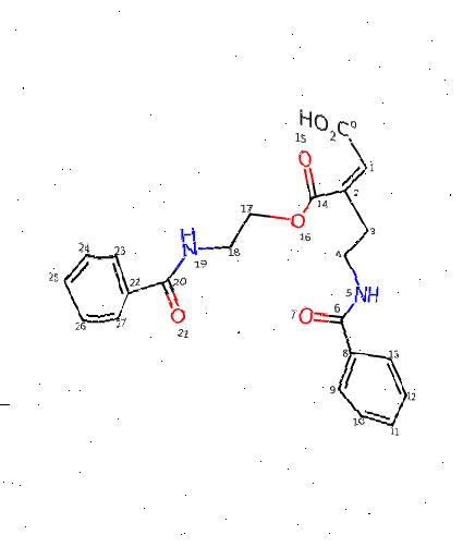 O=C(O)C=C(CCNC(=O)c1ccccc1)C(=O)OCCNC(=O)c1ccccc1